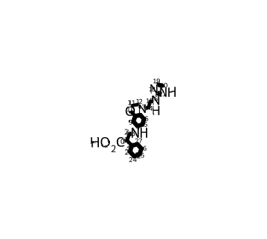 O=C(O)C(CNc1ccc2c(c1)OCCN2CCNc1ncc[nH]1)c1ccccc1